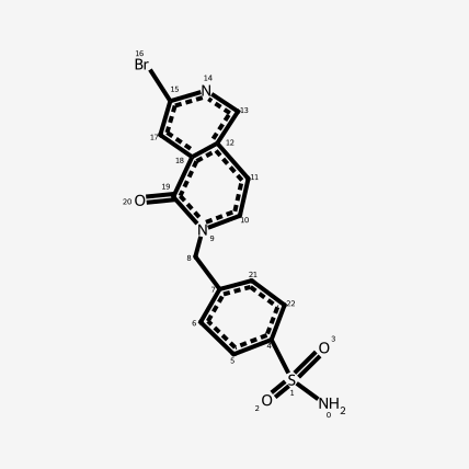 NS(=O)(=O)c1ccc(Cn2ccc3cnc(Br)cc3c2=O)cc1